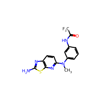 CN(c1cccc(NC(=O)C(F)(F)F)c1)c1ccc2nc(N)sc2n1